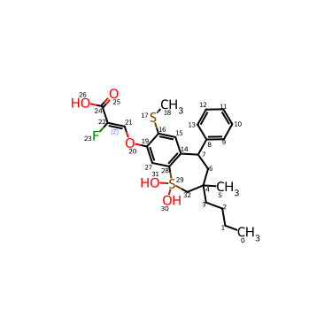 CCCCC1(C)CC(c2ccccc2)c2cc(SC)c(O/C=C(\F)C(=O)O)cc2S(O)(O)C1